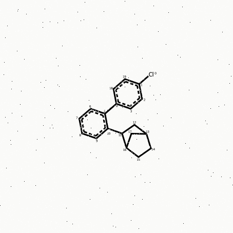 Clc1ccc(-c2ccccc2C2CC3CCC2C3)cc1